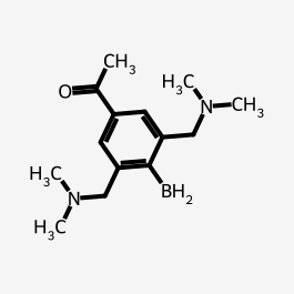 Bc1c(CN(C)C)cc(C(C)=O)cc1CN(C)C